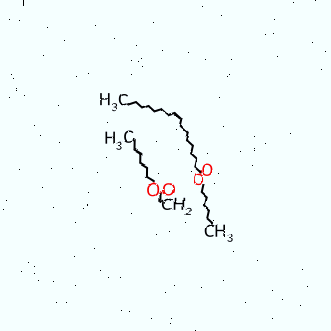 C=CC(=O)OCCCCCCCC.CCCCCCCC/C=C\CCCCCCCC(=O)OCCCCCCCC